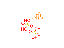 O=S(=O)(O)O.O=S(=O)(O)O.P.P.P.P